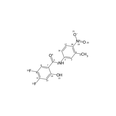 Cc1cc(NC(=O)c2cc(F)c(F)cc2O)ccc1[N+](=O)[O-]